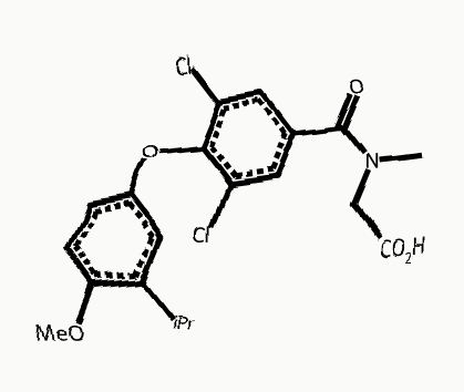 COc1ccc(Oc2c(Cl)cc(C(=O)N(C)CC(=O)O)cc2Cl)cc1C(C)C